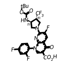 CC(C)(C)OC(=O)N[C@@H]1CN(c2nc3c(cc2F)c(=O)c(C(=O)O)cn3-c2ccc(F)cc2F)C[C@H]1C(F)(F)F